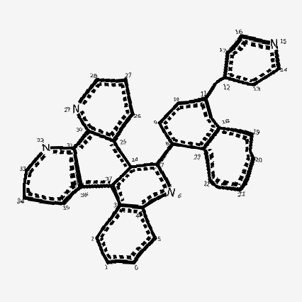 c1ccc2c(c1)nc(-c1ccc(-c3ccncc3)c3ccccc13)c1c3cccnc3c3ncccc3c21